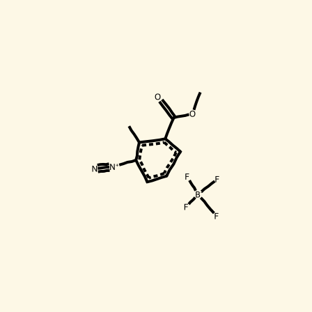 COC(=O)c1cccc([N+]#N)c1C.F[B-](F)(F)F